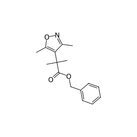 Cc1noc(C)c1C(C)(C)C(=O)OCc1ccccc1